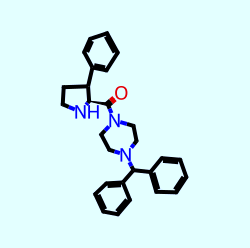 O=C([C@H]1NCCC1c1ccccc1)N1CCN(C(c2ccccc2)c2ccccc2)CC1